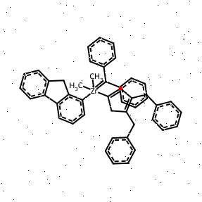 [CH3][Zr]([CH3])([C]1=CC(Cc2ccccc2)=C(Cc2ccccc2)C1)(=[C](c1ccccc1)c1ccccc1)[c]1cccc2c1Cc1ccccc1-2